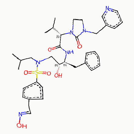 CC(C)CN(C[C@@H](O)[C@H](Cc1ccccc1)NC(=O)[C@H](C(C)C)N1CCN(Cc2cccnc2)C1=O)S(=O)(=O)c1ccc(C=NO)cc1